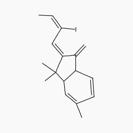 C=C1/C(=C\C(I)=C/C)C(C)(C)C2C=C(C)C=CC12